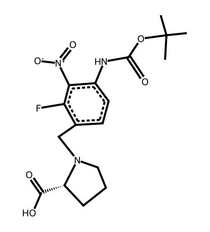 CC(C)(C)OC(=O)Nc1ccc(CN2CCC[C@@H]2C(=O)O)c(F)c1[N+](=O)[O-]